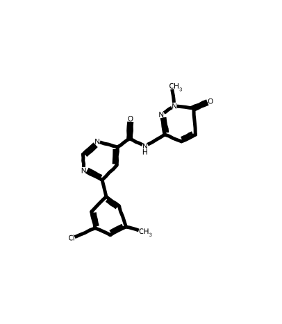 Cc1cc(Cl)cc(-c2cc(C(=O)Nc3ccc(=O)n(C)n3)ncn2)c1